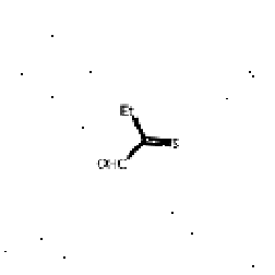 CCC(=S)[C]=O